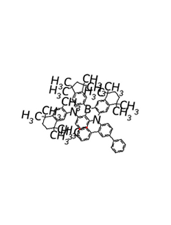 Cc1cc2c3c(c1)N(c1ccc(-c4ccccc4)cc1-c1ccccc1)c1cc4c(cc1B3c1cc3c(cc1N2c1cc2c(cc1C)C(C)(C)CCC2(C)C)C(C)(C)CC3(C)C)C(C)(C)CCC4(C)C